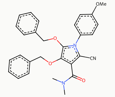 COc1ccc(-n2c(C#N)c(C(=O)N(C)C)c(OCc3ccccc3)c2OCc2ccccc2)cc1